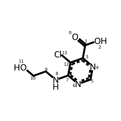 O=C(O)c1ncnc(NCCO)c1Cl